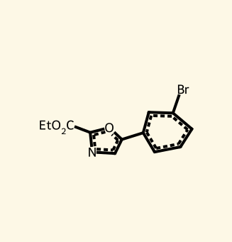 CCOC(=O)c1ncc(-c2cccc(Br)c2)o1